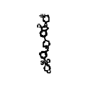 O=C1c2ccc(C3CCN(Cc4cccc(S(=O)(=O)N5CCOCC5)c4)CC3)cc2CN1C1CCCNC1